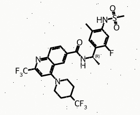 Cc1cc([C@@H](C)NC(=O)c2ccc3nc(C(F)(F)F)cc(N4CCC(C(F)(F)F)CC4)c3c2)c(F)cc1NS(C)(=O)=O